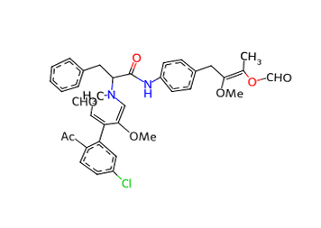 CO/C(Cc1ccc(NC(=O)C(Cc2ccccc2)N(C)/C=C(OC)\C(=C/C=O)c2cc(Cl)ccc2C(C)=O)cc1)=C(/C)OC=O